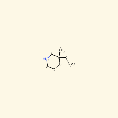 CNC[C@]1(C)CCCNC1